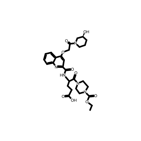 CCOC(=O)N1CCN(C(=O)C(CCC(=O)O)NC(=O)c2cc(OCC(=O)N3CCC[C@H](O)C3)c3ccccc3n2)CC1